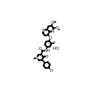 COc1cc2nccc(Oc3ccc(NC(=O)c4cn(C)cc(-c5ccc(Cl)cc5)c4=O)cc3F)c2nc1OC.Cl